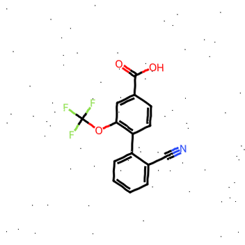 N#Cc1ccccc1-c1ccc(C(=O)O)cc1OC(F)(F)F